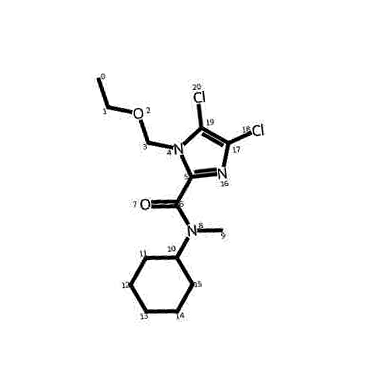 CCOCn1c(C(=O)N(C)C2CCCCC2)nc(Cl)c1Cl